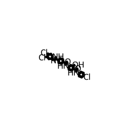 O=C(Nc1ccc(C(=O)Nc2ccc(Cl)cc2)c(O)c1)c1ccc(-c2nc3cc(Cl)c(Cl)cc3[nH]2)cc1